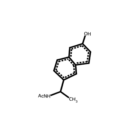 CC(=O)NC(C)c1ccc2cc(O)ccc2c1